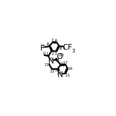 CC(c1cc(C(F)(F)F)ccc1F)N1CCc2ncccc2C1=O